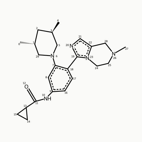 C[C@@H]1C[C@@H](C)CN(c2cc(NC(=O)C3CC3)ccc2-c2ncc3n2CCN(C)C3)C1